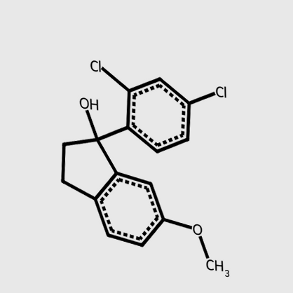 COc1ccc2c(c1)C(O)(c1ccc(Cl)cc1Cl)CC2